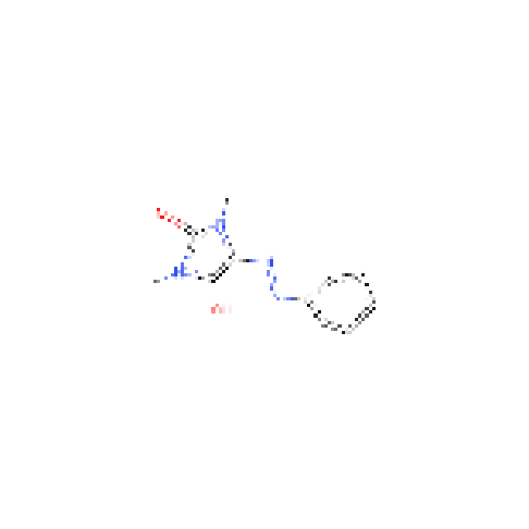 Cn1c(O)c(N=Nc2ccccc2)n(C)c1=O